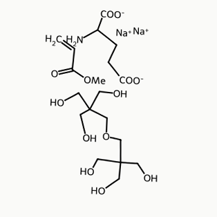 C=CC(=O)OC.NC(CCC(=O)[O-])C(=O)[O-].OCC(CO)(CO)COCC(CO)(CO)CO.[Na+].[Na+]